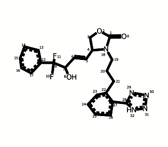 O=C1OCC(C=CC(O)C(F)(F)c2ccccc2)N1CCCc1ccccc1-c1nnn[nH]1